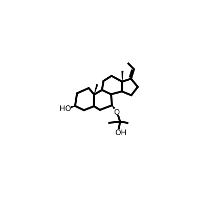 C/C=C1/CCC2C3C(CC[C@]12C)[C@@]1(C)CC[C@H](O)CC1C[C@@H]3OC(C)(C)O